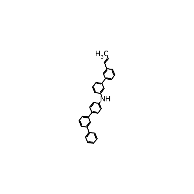 C/C=C/c1cccc(-c2cccc(Nc3ccc(-c4cccc(-c5ccccc5)c4)cc3)c2)c1